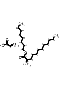 C=C(CCCCCCCCCC)C(=O)OCCCCCCCC.C=CC(=O)O